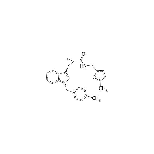 Cc1ccc(Cn2cc([C@H]3C[C@@H]3C(=O)NCc3ccc(C)o3)c3ccccc32)cc1